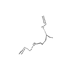 C=CCOCC(C)OC=C